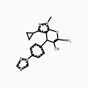 Cn1nc(C2CC2)c2c1OC(N)=C(C#N)C2c1ccc(-n2cncn2)cc1